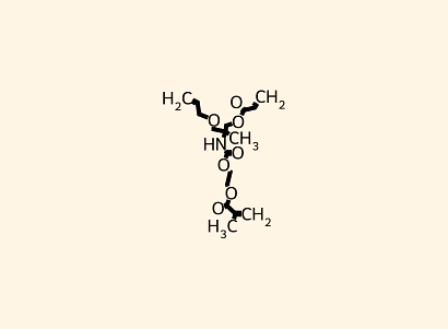 C=CCOCC(C)(COC(=O)C=C)NC(=O)OCCOC(=O)C(=C)C